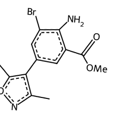 COC(=O)c1cc(-c2c(C)noc2C)cc(Br)c1N